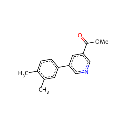 COC(=O)c1cncc(-c2ccc(C)c(C)c2)c1